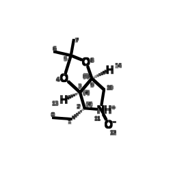 CC[C@@H]1[C@H]2OC(C)(C)O[C@H]2C[NH+]1[O-]